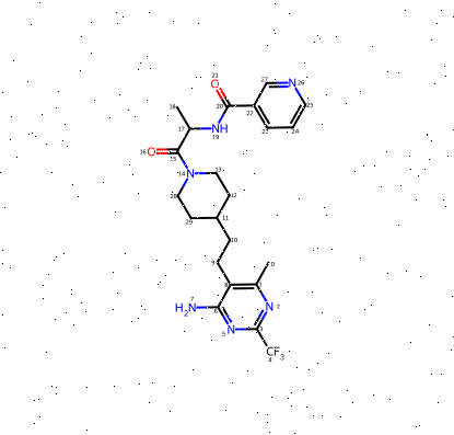 Cc1nc(C(F)(F)F)nc(N)c1CCC1CCN(C(=O)C(C)NC(=O)c2cccnc2)CC1